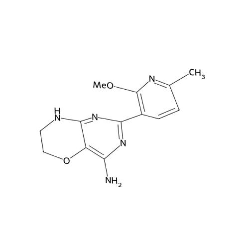 COc1nc(C)ccc1-c1nc(N)c2c(n1)NCCO2